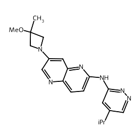 COC1(C)CN(c2cnc3ccc(Nc4cc(C(C)C)cnn4)nc3c2)C1